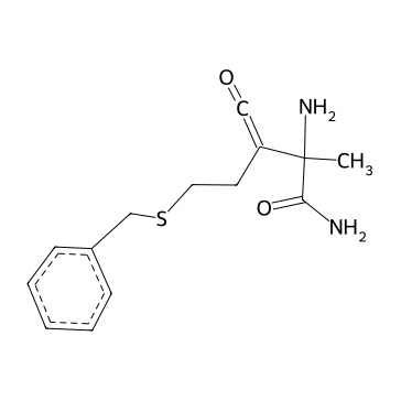 CC(N)(C(N)=O)C(=C=O)CCSCc1ccccc1